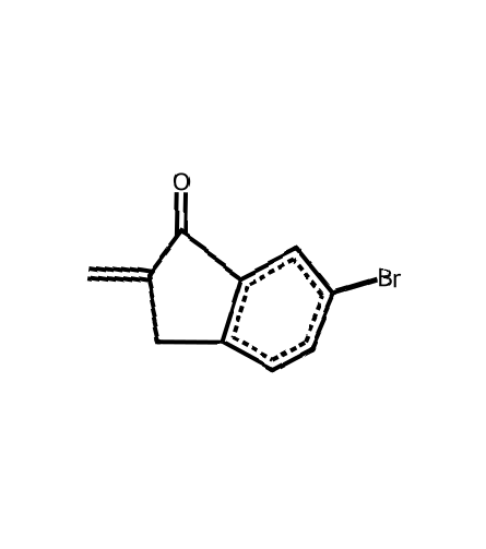 C=C1Cc2ccc(Br)cc2C1=O